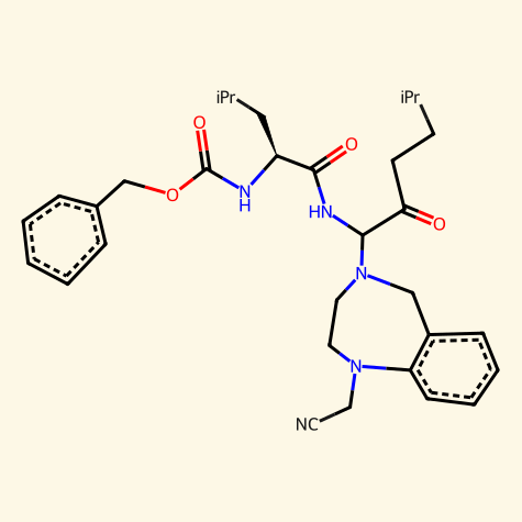 CC(C)CCC(=O)C(NC(=O)[C@H](CC(C)C)NC(=O)OCc1ccccc1)N1CCN(CC#N)c2ccccc2C1